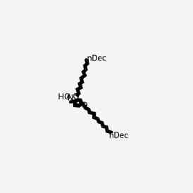 CCCCCCCCCCCCCCCCCCCCCCOc1ccc(/C=N/O)c(OCCCCCCCCCCCCCCCCCCCCCC)c1